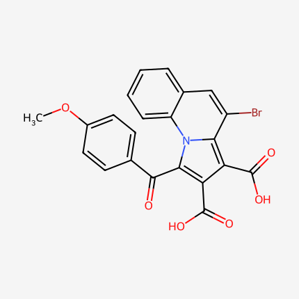 COc1ccc(C(=O)c2c(C(=O)O)c(C(=O)O)c3c(Br)cc4ccccc4n23)cc1